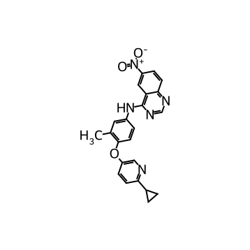 Cc1cc(Nc2ncnc3ccc([N+](=O)[O-])cc23)ccc1Oc1ccc(C2CC2)nc1